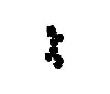 c1ccc(N(c2ccc(-c3ccc4c(c3)c3ccccc3n4-c3cnc4ncccc4c3)cc2)c2ccc3oc4ccccc4c3c2)cc1